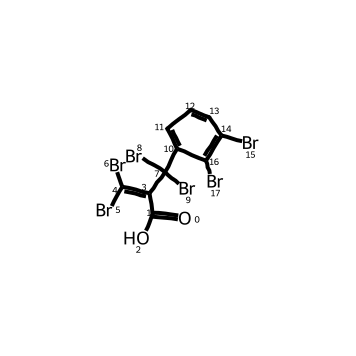 O=C(O)C(=C(Br)Br)C(Br)(Br)c1cccc(Br)c1Br